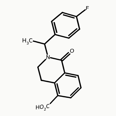 CC(c1ccc(F)cc1)N1CCc2c(C(=O)O)cccc2C1=O